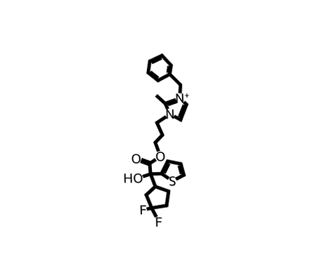 Cc1n(CCCOC(=O)C(O)(c2cccs2)C2CCC(F)(F)C2)cc[n+]1Cc1ccccc1